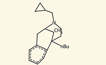 CCCCC12CCN(CC3CC3)C(Cc3ccccc31)C2C